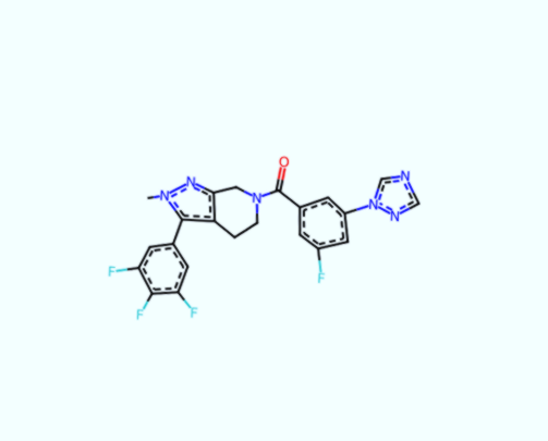 Cn1nc2c(c1-c1cc(F)c(F)c(F)c1)CCN(C(=O)c1cc(F)cc(-n3cncn3)c1)C2